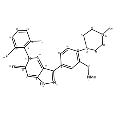 CNCc1cc(-c2n[nH]c3cc(=O)n(-c4c(C)cccc4F)nc23)ccc1N1CCN(C)CC1